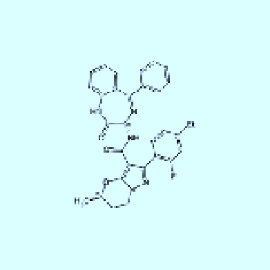 CCc1ccc(-c2nn3c(c2C(=O)N[C@H]2N=C(c4ccccc4)c4ccccc4NC2=O)O[C@H](C)CC3)c(F)c1